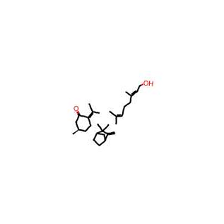 C=C1C2CCC(C2)C1(C)C.CC(C)=C1CC[C@@H](C)CC1=O.CC(C)=CCC/C(C)=C/CO